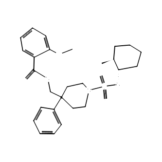 COc1ccccc1C(=O)NCC1(c2ccccc2)CCN(S(=O)(=O)N[C@H]2CCCC[C@@H]2O)CC1